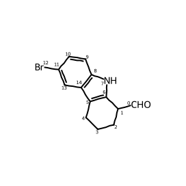 O=CC1CCCc2c1[nH]c1ccc(Br)cc21